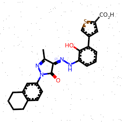 CC1=NN(c2ccc3c(c2)CCCC3)C(=O)/C1=N\Nc1cccc(-c2csc(C(=O)O)c2)c1O